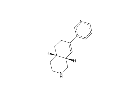 C1=C(c2cccnc2)CC[C@H]2CCNC[C@@H]12